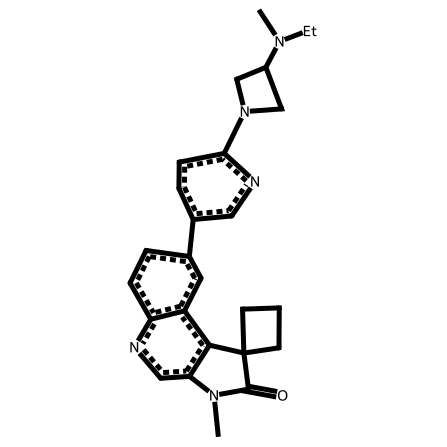 CCN(C)C1CN(c2ccc(-c3ccc4ncc5c(c4c3)C3(CCC3)C(=O)N5C)cn2)C1